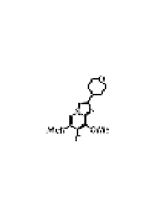 CNc1cn2cc(C3CCOCC3)nc2c(OC)c1Cl